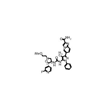 COCCN1C[C@@H](NC(=O)Nc2c(C)c(-c3ccc4nc(C(N)=O)cn4c3)nn2-c2ccccc2)[C@H](c2ccnc(F)c2)O1